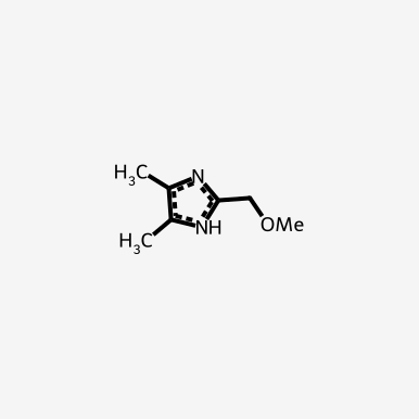 COCc1nc(C)c(C)[nH]1